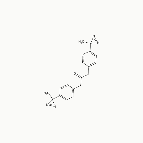 CC1(c2ccc(CC(=O)Cc3ccc(C4(C)N=N4)cc3)cc2)N=N1